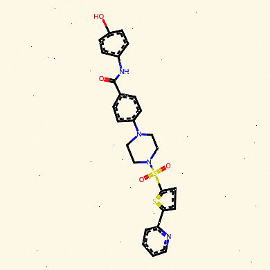 O=C(Nc1ccc(O)cc1)c1ccc(N2CCN(S(=O)(=O)c3ccc(-c4ccccn4)s3)CC2)cc1